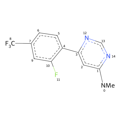 CNc1cc(-c2ccc(C(F)(F)F)cc2F)ncn1